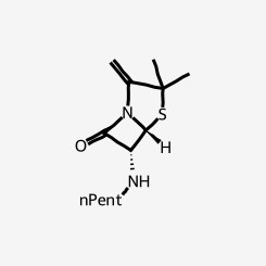 C=C1N2C(=O)[C@@H](NCCCCC)[C@H]2SC1(C)C